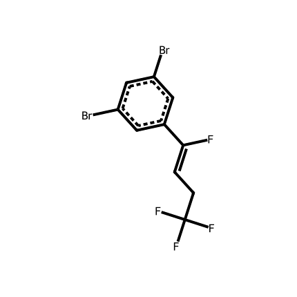 FC(=CCC(F)(F)F)c1cc(Br)cc(Br)c1